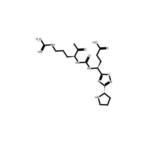 CC(=O)[C@H](CCCNC(=N)N)NC(=O)N[C@@H](CCC(=O)O)c1nc([C@@H]2CCCN2)no1